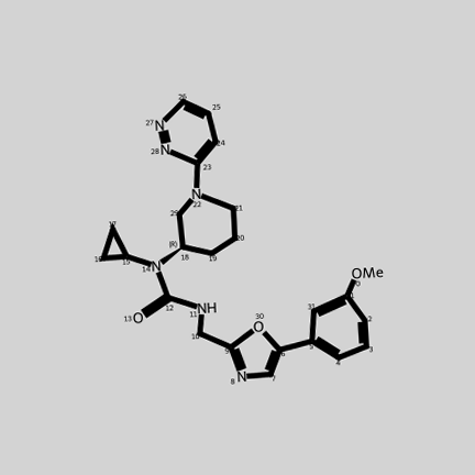 COc1cccc(-c2cnc(CNC(=O)N(C3CC3)[C@@H]3CCCN(c4cccnn4)C3)o2)c1